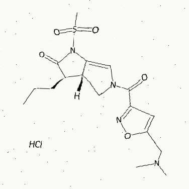 CCC[C@H]1C(=O)N(S(C)(=O)=O)C2=CN(C(=O)c3cc(CN(C)C)on3)C[C@@H]21.Cl